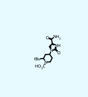 CC(C)(C)C1CC(n2cc(C(N)=O)[nH]c2=O)CCN1C(=O)O